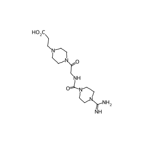 N=C(N)N1CCN(C(=O)NCC(=O)N2CCN(CCC(=O)O)CC2)CC1